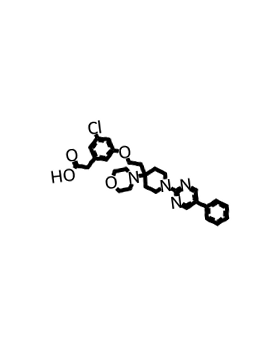 O=C(O)Cc1cc(Cl)cc(OCCC2(N3CCOCC3)CCN(c3ncc(-c4ccccc4)cn3)CC2)c1